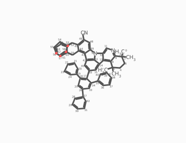 CC1(C)CCC(C)(C)c2c1ncc1c2c2cc(-c3c(-c4ccccc4)cc(-c4ccccc4)cc3-c3ccccc3)cc3c4c5c(c(C#N)cc4n1c32)C1c2ccccc2C5c2ccccc21